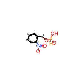 O=[N+]([O-])c1ccccc1CO[PH](=O)O